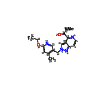 CNC(=O)c1nccc2nn(Cc3cnc(OCC(F)(F)F)cc3C)cc12